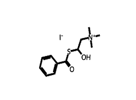 C[N+](C)(C)CC(O)SC(=O)c1ccccc1.[I-]